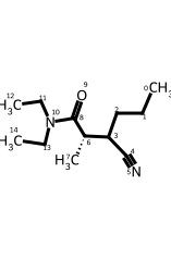 CCCC(C#N)[C@H](C)C(=O)N(CC)CC